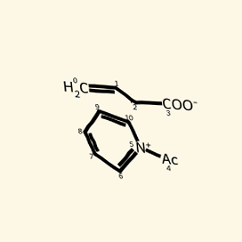 C=C[CH]C(=O)[O-].CC(=O)[n+]1ccccc1